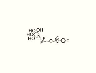 O[C@H]1[C@H](O)[C@@H](O)CN(CCC(F)(F)CCCOCc2csc(-c3ccc(F)cc3)n2)C[C@@H]1O